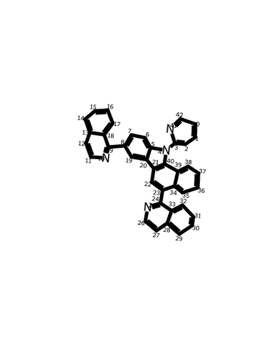 c1ccc(-n2c3ccc(-c4nccc5ccccc45)cc3c3cc(-c4nccc5ccccc45)c4ccccc4c32)nc1